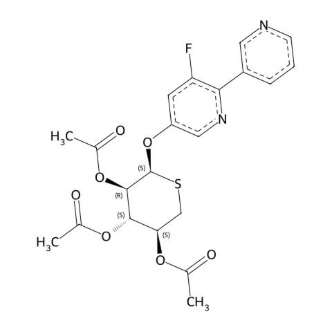 CC(=O)O[C@@H]1[C@@H](OC(C)=O)[C@@H](Oc2cnc(-c3cccnc3)c(F)c2)SC[C@H]1OC(C)=O